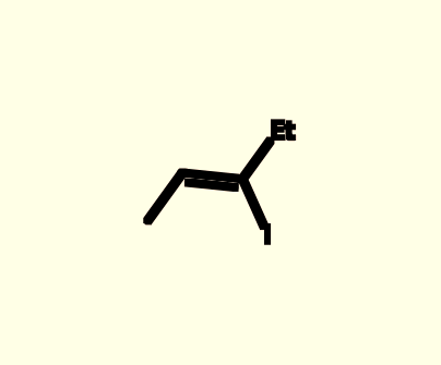 C/C=C(\I)CC